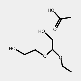 CC(=O)O.CCOC(CO)OCCO